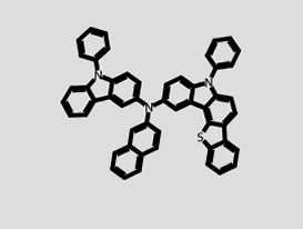 c1ccc(-n2c3ccccc3c3cc(N(c4ccc5ccccc5c4)c4ccc5c(c4)c4c6sc7ccccc7c6ccc4n5-c4ccccc4)ccc32)cc1